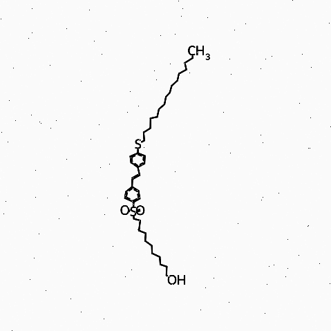 CCCCCCCCCCCCCCCCSc1ccc(C=Cc2ccc(S(=O)(=O)CCCCCCCCCCCO)cc2)cc1